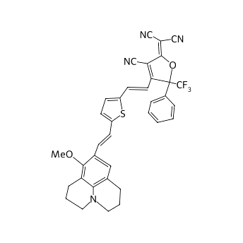 COc1c(C=Cc2ccc(C=CC3=C(C#N)C(=C(C#N)C#N)OC3(c3ccccc3)C(F)(F)F)s2)cc2c3c1CCCN3CCC2